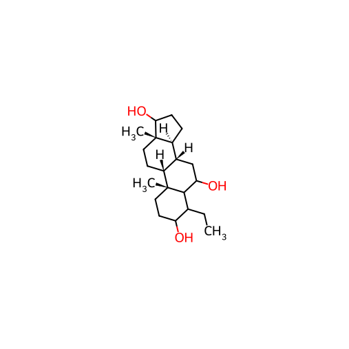 CCC1C(O)CC[C@@]2(C)C1C(O)C[C@@H]1[C@H]2CC[C@]2(C)C(O)CC[C@@H]12